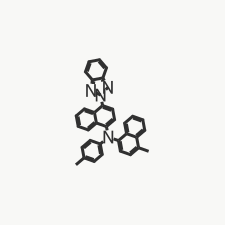 Cc1ccc(N(c2ccc(C)c3ccccc23)c2ccc(-n3nc4ccccc4n3)c3ccccc23)cc1